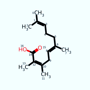 CC(C)=CCCC(C)=CCC(C)=C(C)C(=O)O